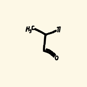 C[CH]([Ti])C=O